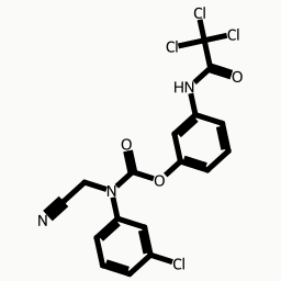 N#CCN(C(=O)Oc1cccc(NC(=O)C(Cl)(Cl)Cl)c1)c1cccc(Cl)c1